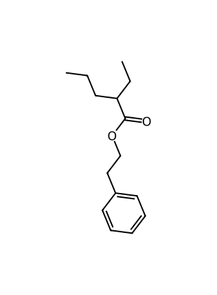 CCCC(CC)C(=O)OCCc1ccccc1